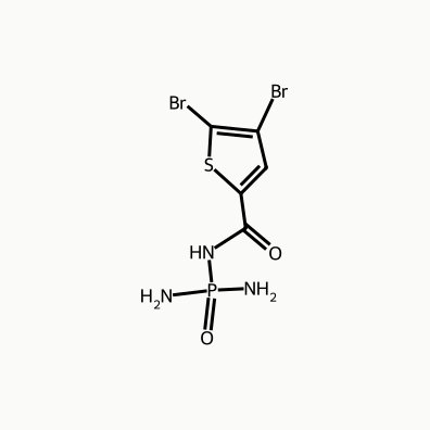 NP(N)(=O)NC(=O)c1cc(Br)c(Br)s1